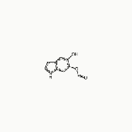 O=COc1cc2[nH]ccc2cc1O